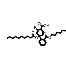 CCCCCCCCCC(=O)OC1(c2ccccc2C(=O)OCCCCCCC)C=CC(C(=O)O)C(F)=C1